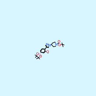 COc1cc(B2OC(C)(C)C(C)(C)O2)ccc1-c1cnn(C2CCN(C(=O)OC(C)(C)C)CC2)c1